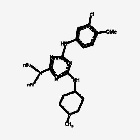 CCCCN(CCC)c1nc(Nc2ccc(OC)c(Cl)c2)nc(NC2CCN(C)CC2)n1